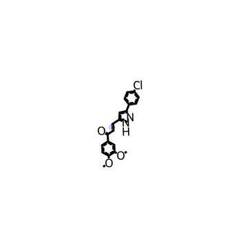 COc1ccc(C(=O)/C=C/c2cc(-c3ccc(Cl)cc3)n[nH]2)cc1OC